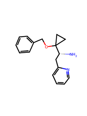 N[C@H](Cc1ccccn1)C1(OCc2ccccc2)CC1